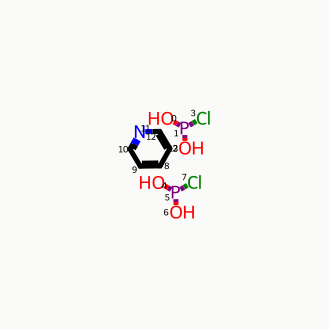 OP(O)Cl.OP(O)Cl.c1ccncc1